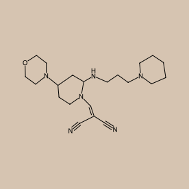 N#CC(C#N)=CN1CCC(N2CCOCC2)CC1NCCCN1CCCCC1